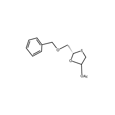 CC(=O)OC1CS[C@@H](COCc2ccccc2)O1